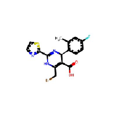 Cc1cc(F)ccc1[C@@H]1N=C(c2nccs2)NC(CBr)=C1C(=O)O